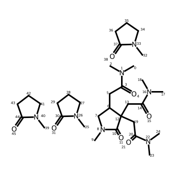 CN(C)C(=O)CC1CN(C)C(=O)C1(CC(=O)N(C)C)CC(=O)N(C)C.CN1CCCC1=O.CN1CCCC1=O.CN1CCCC1=O